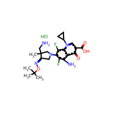 CC(C)(C)O/N=C1\CN(c2c(F)c(N)c3c(=O)c(C(=O)O)cn(C4CC4)c3c2F)CC1(C)CN.Cl